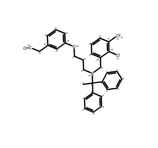 CC(c1ccccc1)(c1ccccc1)N(CCCOc1cccc(CC=O)c1)Cc1cccc(C(F)(F)F)c1Cl